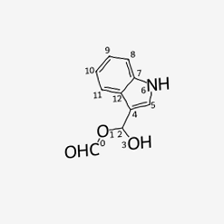 O=COC(O)c1c[nH]c2ccccc12